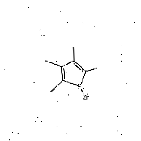 Cc1c(C)c(C)[p]([Zr])c1C